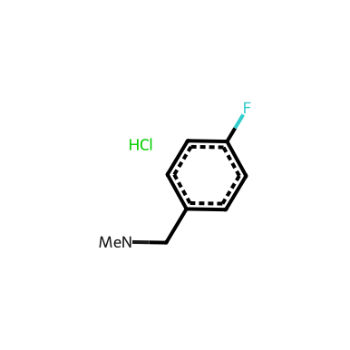 CNCc1ccc(F)cc1.Cl